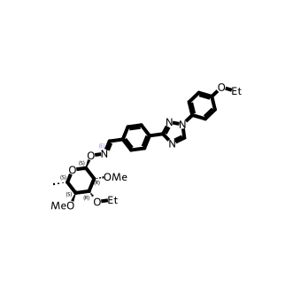 CCOc1ccc(-n2cnc(-c3ccc(/C=N/O[C@@H]4O[C@@H](C)[C@H](OC)[C@@H](OCC)[C@H]4OC)cc3)n2)cc1